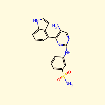 Nc1cnc(Nc2cccc(S(N)(=O)=O)c2)nc1-c1cccc2[nH]ccc12